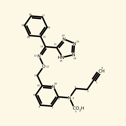 C#CCCN(C(=O)O)c1cccc(CO/N=C(/c2ccccc2)c2nnn[nH]2)n1